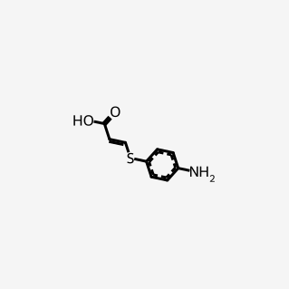 Nc1ccc(S/C=C/C(=O)O)cc1